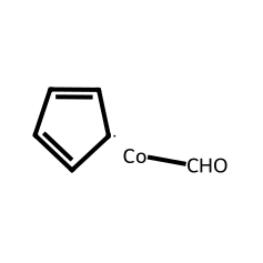 O=[CH][Co].[CH]1C=CC=C1